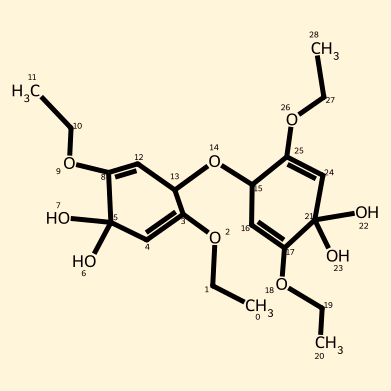 CCOC1=CC(O)(O)C(OCC)=CC1OC1C=C(OCC)C(O)(O)C=C1OCC